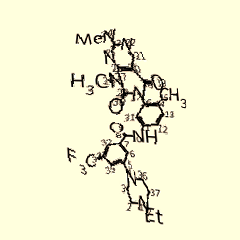 CCN1CCN(c2cc(C(=O)Nc3ccc(C)c(-n4c(=O)c5cnc(NC)nc5n(C)c4=O)c3)cc(C(F)(F)F)c2)CC1